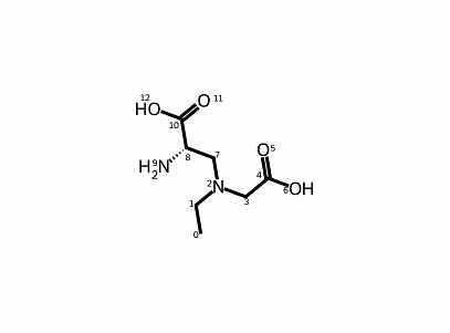 CCN(CC(=O)O)C[C@H](N)C(=O)O